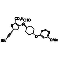 COc1cc(O[C@H]2CC[C@H](N(C=O)c3cc(C#CC(C)(C)C)sc3C(=O)O)CC2)ccn1